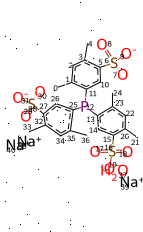 Cc1cc(C)c(S(=O)(=O)[O-])cc1P(c1cc(S(=O)(=O)[O-])c(C)cc1C)c1cc(S(=O)(=O)[O-])c(C)cc1C.O.[Na+].[Na+].[Na+]